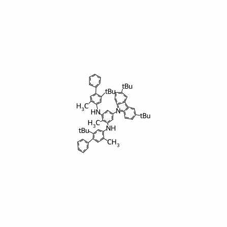 Cc1cc(-c2ccccc2)c(C(C)(C)C)cc1Nc1cc(-n2c3ccc(C(C)(C)C)cc3c3cc(C(C)(C)C)ccc32)cc(Nc2cc(C(C)(C)C)c(-c3ccccc3)cc2C)c1C